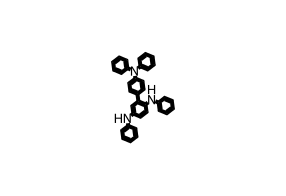 c1ccc(Nc2ccc(Nc3ccccc3)c(-c3ccc(N(c4ccccc4)c4ccccc4)cc3)c2)cc1